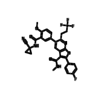 CNC(=O)c1c(-c2ccc(F)cc2)oc2nc(CCC(F)(F)F)c(-c3ccc(OC)c(C(=O)NC4(C#N)CC4)c3)cc12